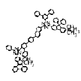 CC(C)(C)c1ccc2c(c1)C(c1ccccc1)(c1ccccc1)c1cc(-c3nc(-c4cc(-c5ccccc5)cc(-c5ccccc5)c4)nc(-c4ccc5cc(-c6ccc(-c7ccc(-c8nc(-c9ccccc9)nc(-c9ccc%10c(c9)C(C)(C)c9c-%10c%10ccccc%10c%10ccccc9%10)n8)c(-c8ccccc8)c7)cc6)ccc5c4)n3)ccc1-2